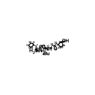 CCC(C)C(NC(=O)C(N)Cc1ccccc1)C(=O)NCCCC(=O)Cc1cccc(O)c1